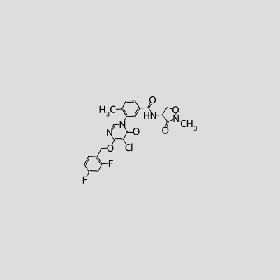 Cc1ccc(C(=O)NC2CON(C)C2=O)cc1-n1cnc(OCc2ccc(F)cc2F)c(Cl)c1=O